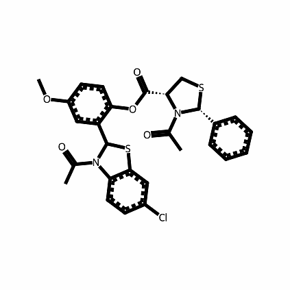 COc1ccc(OC(=O)[C@@H]2CS[C@H](c3ccccc3)N2C(C)=O)c(C2Sc3cc(Cl)ccc3N2C(C)=O)c1